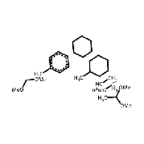 C1CCCCC1.CC#N.CC1CCCCC1.CCCCCC.COC(C)OC.COCOC.Cc1ccccc1